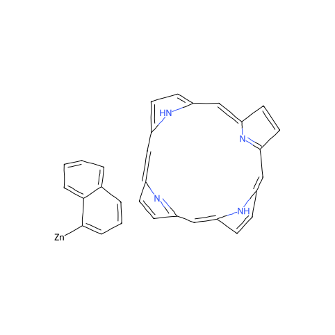 C1=Cc2cc3ccc(cc4nc(cc5ccc(cc1n2)[nH]5)C=C4)[nH]3.[Zn][c]1cccc2ccccc12